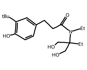 CCN(C(=O)CCc1ccc(O)c(C(C)(C)C)c1)C(CC)(CO)CO